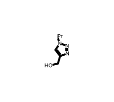 CC(C)n1cc(CO)nn1